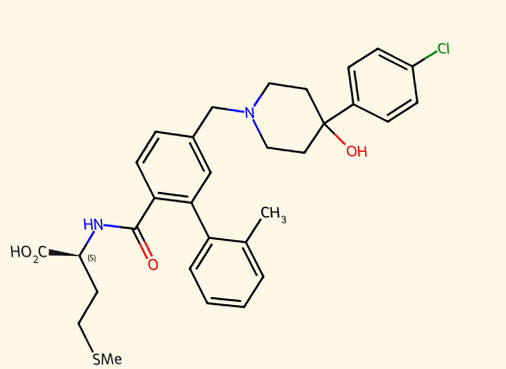 CSCC[C@H](NC(=O)c1ccc(CN2CCC(O)(c3ccc(Cl)cc3)CC2)cc1-c1ccccc1C)C(=O)O